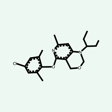 CCC(CC)N1COCc2c1cc(C)nc2Oc1c(C)cc(Cl)cc1C